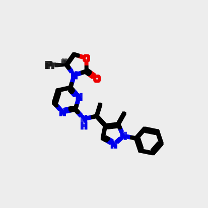 Cc1c(C(C)Nc2nccc(N3C(=O)OC[C@@H]3C(C)C)n2)cnn1-c1ccccc1